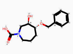 O=C(O)N1CCC[C@@H](OCc2ccccc2)[C@H](O)C1